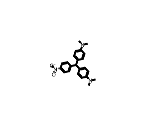 CN(C)c1ccc(C(c2ccc(N(C)C)cc2)c2ccc([N+](=O)[O-])cc2)cc1